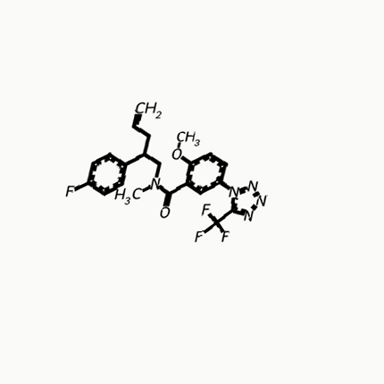 C=CCC(CN(C)C(=O)c1cc(-n2nnnc2C(F)(F)F)ccc1OC)c1ccc(F)cc1